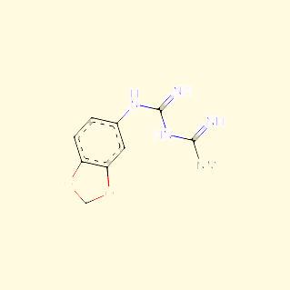 CNC(=N)NC(=N)Nc1ccc2c(c1)OCO2